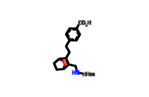 CCCCCCNCC1C2CCC(O2)C1CCc1ccc(C(=O)O)cc1